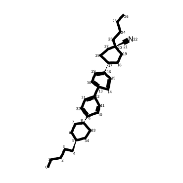 CCCCC[C@H]1CC[C@H](c2ccc(-c3ccc([C@H]4CC[C@@](C#N)(CCCC)CC4)cc3)cc2)CC1